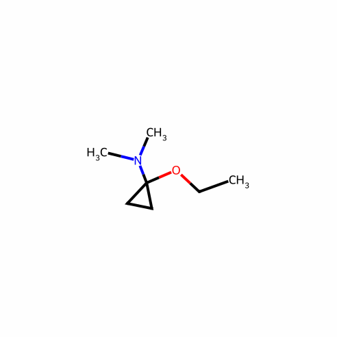 CCOC1(N(C)C)CC1